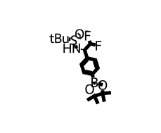 CC(C)(C)[S+]([O-])N[C@@H](c1ccc(B2OC(C)(C)C(C)(C)O2)cc1)C(F)F